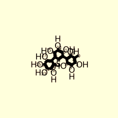 Cc1c(O)c(O)c(O)c(-c2c(O)c(O)c(O)c3c2sc2c(O)c(O)c(O)c(O)c23)c1O